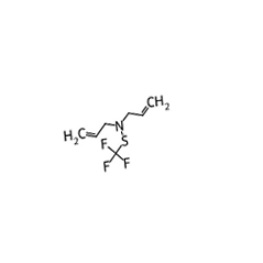 C=CCN(CC=C)SC(F)(F)F